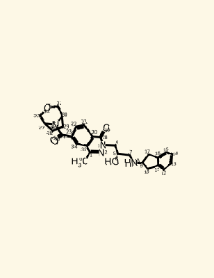 Cc1nn(C[C@@H](O)CNC2Cc3ccccc3C2)c(=O)c2ccc(C(=O)N3C4CCC3COC4)cc12